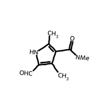 CNC(=O)c1c(C)[nH]c(C=O)c1C